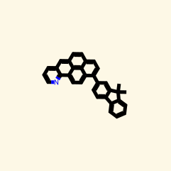 CC1(C)c2ccccc2-c2ccc(-c3ccc4ccc5cc6cccnc6c6ccc3c4c56)cc21